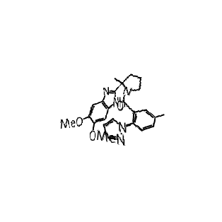 COc1cc2nc(C3(C)CCCN3C(=O)c3cc(C)ccc3-n3cccn3)[nH]c2cc1OC